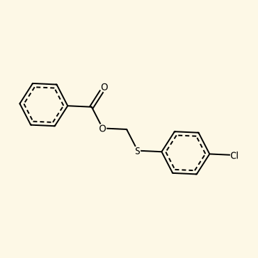 O=C(OCSc1ccc(Cl)cc1)c1ccccc1